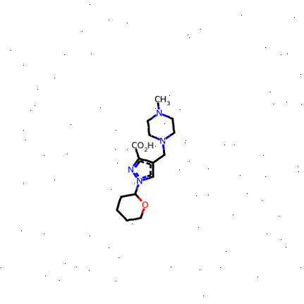 CN1CCN(Cc2cn(C3CCCCO3)nc2C(=O)O)CC1